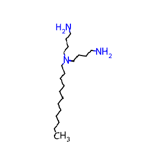 CCCCCCCCCCCCN(CCCCN)CCCCN